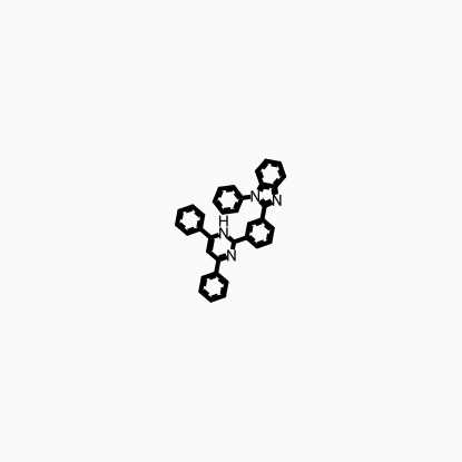 C1=C(c2ccccc2)NC(c2cccc(-c3nc4ccccc4n3-c3ccccc3)c2)N=C1c1ccccc1